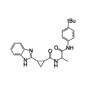 CC(NC(=O)C1CC1c1nc2ccccc2[nH]1)C(=O)Nc1ccc(C(C)(C)C)cc1